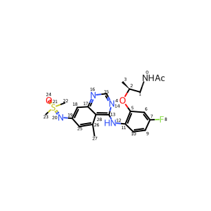 CC(=O)NC[C@H](C)Oc1cc(F)ccc1Nc1ncnc2cc(N=S(C)(C)=O)cc(C)c12